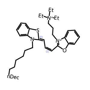 CCCCCCCCCCCCCCCCN1/C(=C\C=C/c2oc3ccccc3[n+]2CCC[N+](CC)(CC)CC)Sc2ccccc21